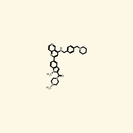 CN1CCN(C(=O)c2cc3cc(-c4cc(NCc5ccc(CN6CCCCC6)cc5)c5cnccc5n4)ccc3n2C)CC1